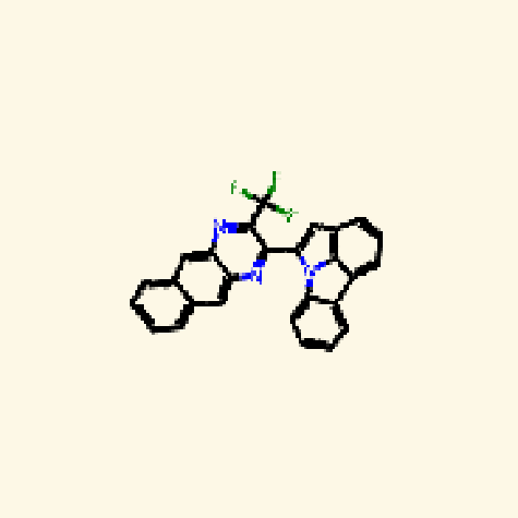 FC(F)(F)c1nc2cc3ccccc3cc2nc1-c1cc2cccc3c4ccccc4n1c23